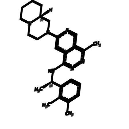 Cc1cccc([C@@H](C)Nc2nnc(C)c3cnc(N4CCN5CCCC[C@@H]5C4)cc23)c1C